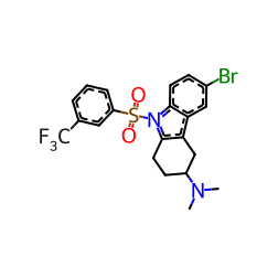 CN(C)C1CCc2c(c3cc(Br)ccc3n2S(=O)(=O)c2cccc(C(F)(F)F)c2)C1